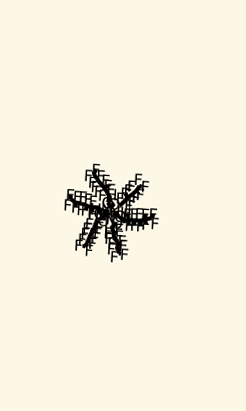 FC(F)C(F)(F)C(F)(F)C(F)(F)C(F)(F)CO[PH]1(OCC(F)(F)C(F)(F)C(F)(F)C(F)(F)C(F)F)N[PH](OCC(F)(F)C(F)(F)C(F)(F)C(F)(F)C(F)F)(OCC(F)(F)C(F)(F)C(F)(F)C(F)(F)C(F)F)N[PH](OCC(F)(F)C(F)(F)C(F)(F)C(F)(F)C(F)F)(OCC(F)(F)C(F)(F)C(F)(F)C(F)(F)C(F)F)N1